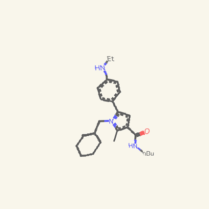 CCCCNC(=O)c1cc(-c2ccc(NCC)cc2)n(CC2CCCCC2)c1C